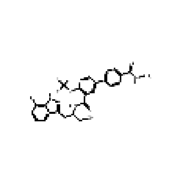 CNC(=O)c1ccc(-c2ccc(OC(F)(F)F)c(C(=O)NC(CO)Cc3n[nH]c4c(F)cccc34)c2)cc1